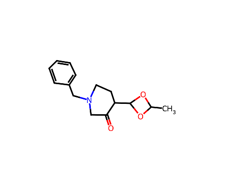 CC1OC(C2CCN(Cc3ccccc3)CC2=O)O1